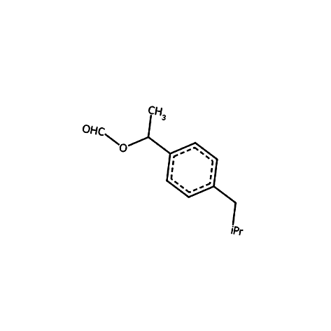 CC(C)Cc1ccc(C(C)OC=O)cc1